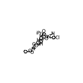 CC(C)C1=C2[C@H]3CC[C@@H]4[C@@]5(C)CC[C@H](OC(=O)[C@H]6C[C@@H](C(=O)OCc7ccccc7)C6(C)C)C(C)(C)[C@@H]5CC[C@@]4(C)[C@]3(C)CC[C@@]2(CC(=O)N(CCN(C)C)Cc2ccc(Cl)cc2)CC1=O